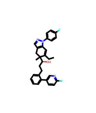 CCC1=Cc2c(cnn2-c2ccc(F)cc2)CC1(C)[C@@H](O)CCc1ccccc1-c1ccc(F)nc1